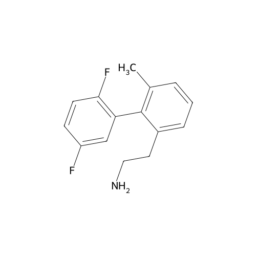 Cc1cccc(CCN)c1-c1cc(F)ccc1F